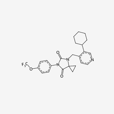 O=C1N(c2ccc(OC(F)(F)F)cc2)C(=O)C2(CC2)N1Cc1ccncc1C1CCCCC1